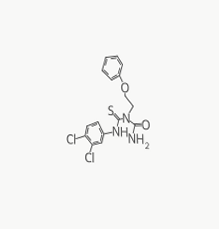 NC(=O)N(CCOc1ccccc1)C(=S)Nc1ccc(Cl)c(Cl)c1